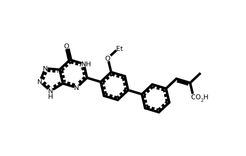 CCOc1cc(-c2cccc(/C=C(/C)C(=O)O)c2)ccc1-c1nc2[nH]nnc2c(=O)[nH]1